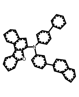 c1ccc(-c2ccc(N(c3cccc(-c4ccc5ccccc5c4)c3)c3cc4ccccc4c4c3oc3ccccc34)cc2)cc1